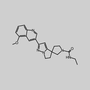 CCNC(=O)N1CCC2(CCn3nc(-c4cnc5cccc(OC)c5c4)cc32)C1